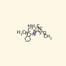 COc1c[n+](C)c(/N=N/c2c(C)n(C)c3ccccc23)s1